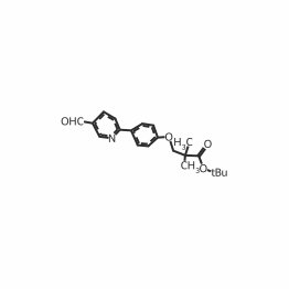 CC(C)(C)OC(=O)C(C)(C)COc1ccc(-c2ccc(C=O)cn2)cc1